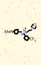 C=NN(CCCN1CCOCC1)/C(=N\Cc1ccc(NC)cc1)c1cccc(C(F)(F)F)c1